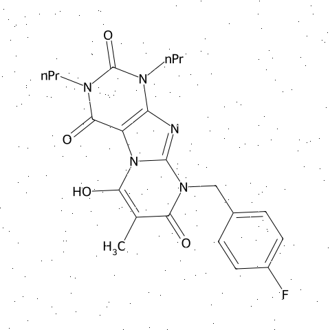 CCCn1c(=O)c2c(nc3n(Cc4ccc(F)cc4)c(=O)c(C)c(O)n23)n(CCC)c1=O